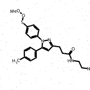 COOSc1ccc(-n2nc(CCC(=O)NCCN)cc2-c2ccc(C)cc2)cc1